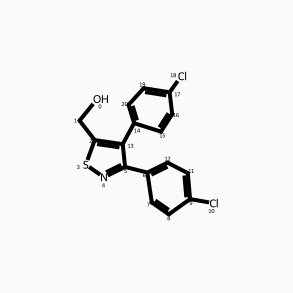 OCc1snc(-c2ccc(Cl)cc2)c1-c1ccc(Cl)cc1